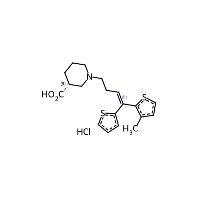 Cc1ccsc1/C(=C/CCN1CCC[C@@H](C(=O)O)C1)c1cccs1.Cl